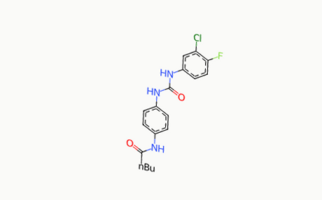 CCCCC(=O)Nc1ccc(NC(=O)Nc2ccc(F)c(Cl)c2)cc1